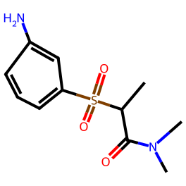 CC(C(=O)N(C)C)S(=O)(=O)c1cccc(N)c1